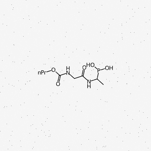 CCCOC(=O)NCC(=O)NC(C)P(O)O